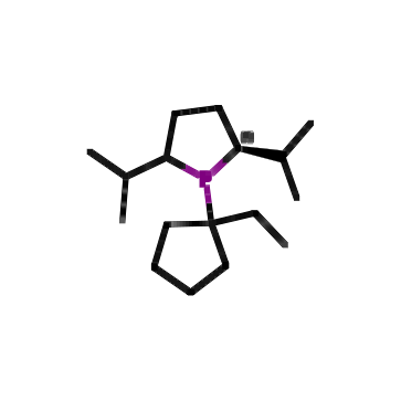 CCC1(P2C(C(C)C)CC[C@H]2C(C)C)CCCC1